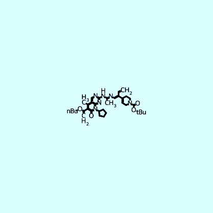 C=C/C(=C\N=C(/C)Nc1ncc2c(C)c(C(=C)OCCCC)c(=O)n(C3CCCC3)c2n1)C1=CCN(C(=O)OC(C)(C)C)CC1